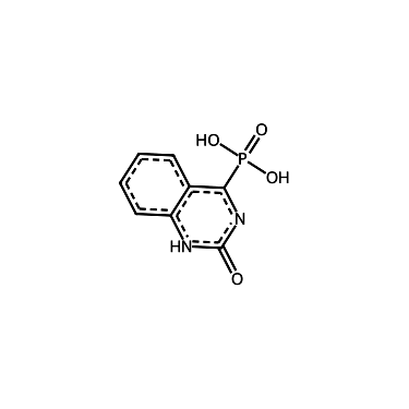 O=c1nc(P(=O)(O)O)c2ccccc2[nH]1